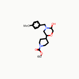 COc1ccc(CN2CC(C3CCN(C(=O)OC(C)(C)C)CC3)OCC2O)cc1